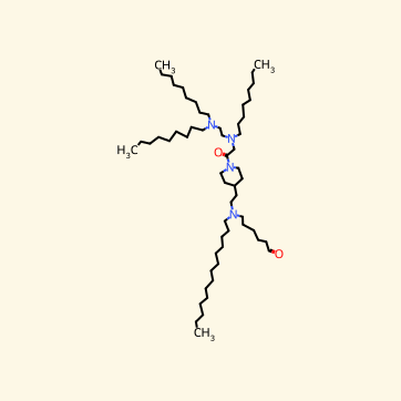 CCCCCCCCCCCCCCN(CCCCCC=O)CCC1CCN(C(=O)CN(CCCCCCCCC)CCN(CCCCCCCCC)CCCCCCCCC)CC1